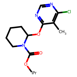 Cc1c(Cl)ncnc1OC1CCCCN1C(=O)OC(C)C